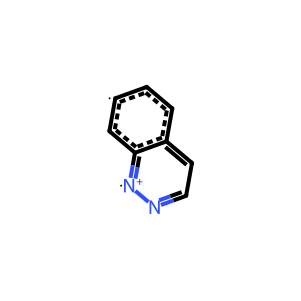 [c]1ccc2c(c1)=[N+]N=CC=2